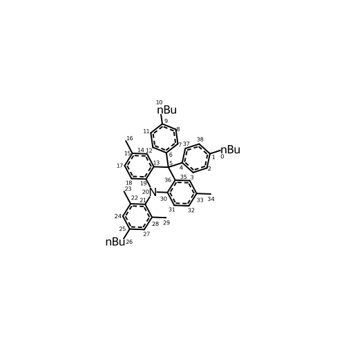 CCCCc1ccc(C2(c3ccc(CCCC)cc3)c3cc(C)ccc3N(c3c(C)cc(CCCC)cc3C)c3ccc(C)cc32)cc1